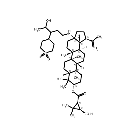 C=C(C)[C@@H]1CC[C@]2(NCCC(C(C)O)N3CCS(=O)(=O)CC3)CC[C@]3(C)[C@H](CC[C@@H]4[C@@]5(C)CC[C@H](OC(=O)[C@H]6[C@@H](C(=O)O)C6(C)C)C(C)(C)[C@@H]5CC[C@]43C)[C@@H]12